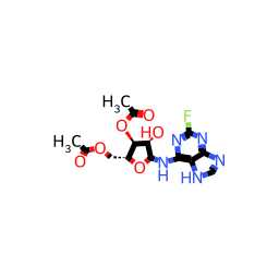 CC(=O)OC[C@H]1OC(Nc2nc(F)nc3nc[nH]c23)[C@@H](O)[C@@H]1OC(C)=O